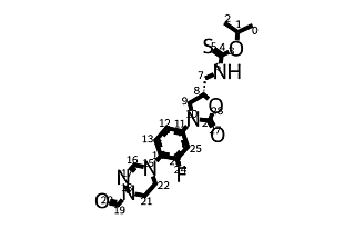 CC(C)OC(=S)NC[C@H]1CN(c2ccc(N3C=NN(C=O)CC3)c(F)c2)C(=O)O1